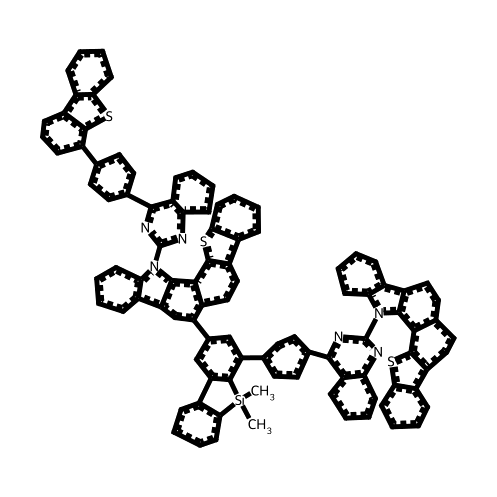 C[Si]1(C)c2ccccc2-c2cc(-c3cc4c5ccccc5n(-c5nc(-c6ccc(-c7cccc8c7sc7ccccc78)cc6)c6ccccc6n5)c4c4c3ccc3c5ccccc5sc34)cc(-c3ccc(-c4nc(-n5c6ccccc6c6ccc7ccc8c9ccccc9sc8c7c65)nc5ccccc45)cc3)c21